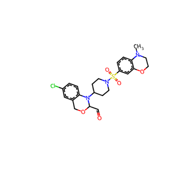 CN1CCOc2cc(S(=O)(=O)N3CCC(N4c5ccc(Cl)cc5COC4C=O)CC3)ccc21